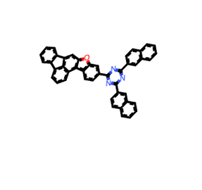 c1ccc2c(c1)-c1cccc3c1c-2cc1oc2cc(-c4nc(-c5ccc6ccccc6c5)nc(-c5ccc6ccccc6c5)n4)ccc2c13